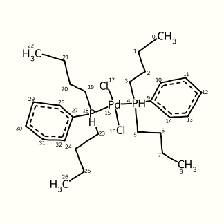 CCCC[PH](CCCC)(c1ccccc1)[Pd]([Cl])([Cl])[PH](CCCC)(CCCC)c1ccccc1